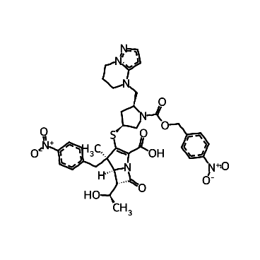 C[C@@H](O)[C@H]1C(=O)N2C(C(=O)O)=C(S[C@H]3C[C@@H](CN4CCCn5nccc54)N(C(=O)OCc4ccc([N+](=O)[O-])cc4)C3)[C@](C)(Cc3ccc([N+](=O)[O-])cc3)[C@H]12